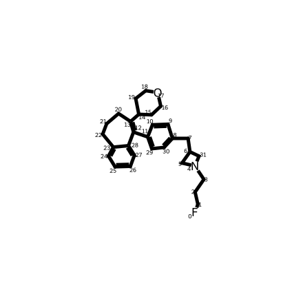 FCCCN1CC(Cc2ccc(C3=C(C4CCOCC4)CCCc4ccccc43)cc2)C1